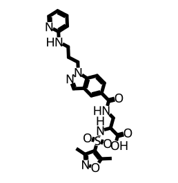 Cc1noc(C)c1S(=O)(=O)NC(CNC(=O)c1ccc2c(cnn2CCCNc2ccccn2)c1)C(=O)O